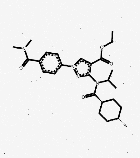 CCOC(=O)c1cn(-c2ccc(C(=O)N(C)C)cc2)nc1N(C(=O)[C@H]1CC[C@H](C)CC1)C(C)C